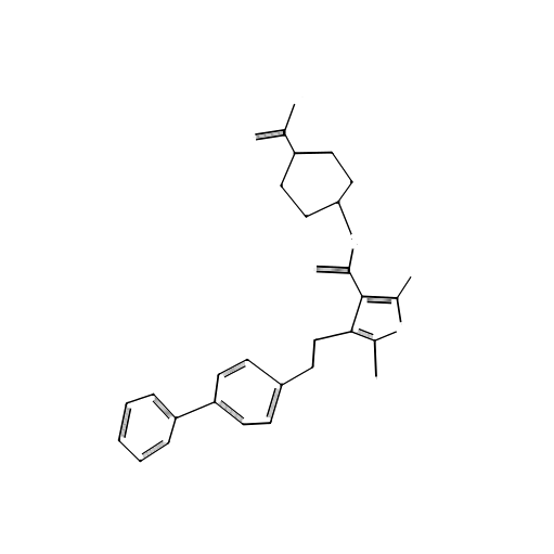 Cc1sc(C)c(C(=O)NC2CCC(C(=O)O)CC2)c1CCc1ccc(-c2ccccc2)cc1